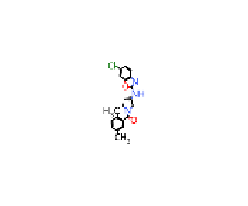 Cc1ccc(C)c(C(=O)N2CC[C@@H](Nc3nc4ccc(Cl)cc4o3)C2)c1